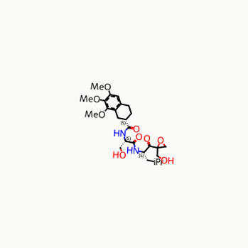 COc1cc2c(c(OC)c1OC)C[C@@H](C(=O)N[C@@H](CO)C(=O)N[C@@H](CC(C)C)C(=O)C1(CO)CO1)CC2